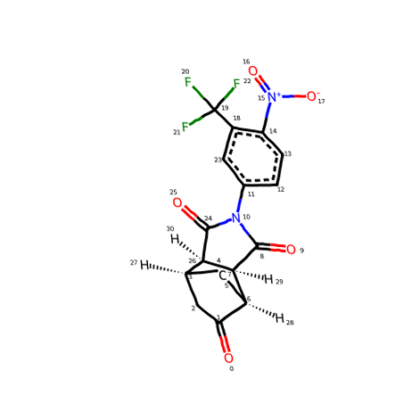 O=C1C[C@@H]2CC[C@H]1[C@@H]1C(=O)N(c3ccc([N+](=O)[O-])c(C(F)(F)F)c3)C(=O)[C@H]21